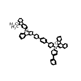 CC1(C)c2ccccc2-c2ccc(-n3c4ccccc4c4cc(-c5ccc(-c6ccc(-c7ccc(N(c8ccc(-c9ccccc9)cc8)c8cc9ccccc9c9c8oc8ccccc89)cc7)cc6)cc5)ccc43)cc21